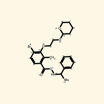 Cc1c(C(=O)ONC(c2ccccc2)C(C)(C)C)ccc(Br)c1OCCOC1CCCCO1